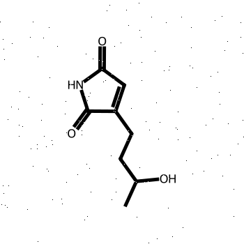 CC(O)CCC1=CC(=O)NC1=O